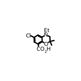 CCN1CC(C)(C)Oc2c(C(=O)O)cc(Cl)cc21